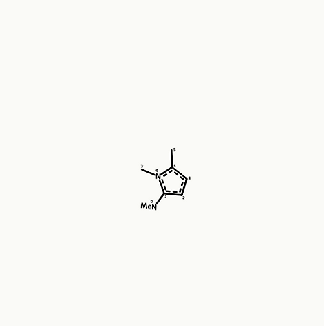 CNc1ccc(C)n1C